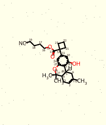 CC1=CCC2[C@@H](C1)c1c(O)cc(C3(C(=O)OCCCCC#N)CCC3)cc1OC2(C)C